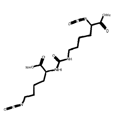 COC(=O)C(CCCCNC(=O)NC(CCCCN=C=O)C(=O)OC)N=C=O